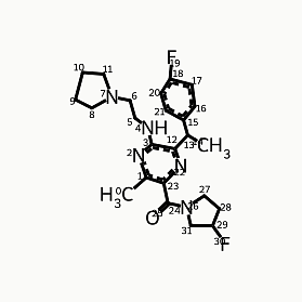 Cc1nc(NCCN2CCCC2)c(C(C)c2ccc(F)cc2)nc1C(=O)N1CCC(F)C1